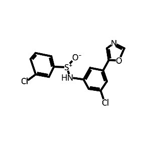 [O-][S+](Nc1cc(Cl)cc(-c2cnco2)c1)c1cccc(Cl)c1